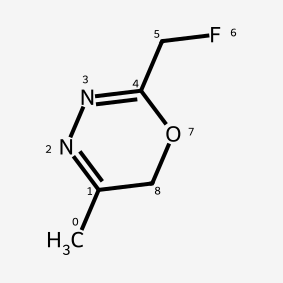 CC1=NN=C(CF)OC1